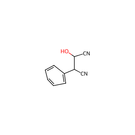 N#CC(O)C(C#N)c1ccccc1